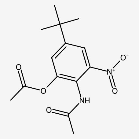 CC(=O)Nc1c(OC(C)=O)cc(C(C)(C)C)cc1[N+](=O)[O-]